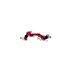 Cc1ncsc1-c1ccc(CNC(=O)[C@@H]2CCCN2C(=O)C(NC(=O)COCCCCOc2ccc(-c3ccc(N4C(=S)N(c5ccc(C#N)c(C(F)(F)F)c5)C(=O)C4(C)C)cn3)cc2)C(C)(C)C)cc1